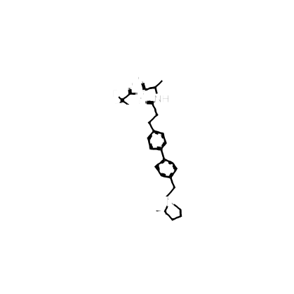 CC(NC(=O)CCc1ccc(-c2ccc(CCN3CCC[C@H]3C)cc2)cc1)C(=O)OC(=O)C(F)(F)F